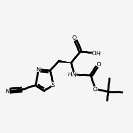 CC(C)(C)OC(=O)N[C@@H](Cc1nc(C#N)cs1)C(=O)O